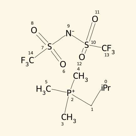 CC(C)C[P+](C)(C)C.O=S(=O)([N-]S(=O)(=O)C(F)(F)F)C(F)(F)F